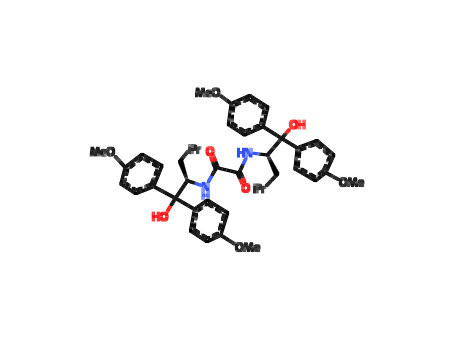 COc1ccc(C(O)(c2ccc(OC)cc2)[C@@H](CC(C)C)NC(=O)C(=O)N[C@H](CC(C)C)C(O)(c2ccc(OC)cc2)c2ccc(OC)cc2)cc1